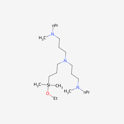 CCCN(C)CCCN(CCCN(C)CCC)CCC[Si](C)(C)OCC